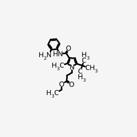 CCOC(=O)CCn1c(C(C)(C)C)cc(C(=O)Nc2ccccc2N)c1C